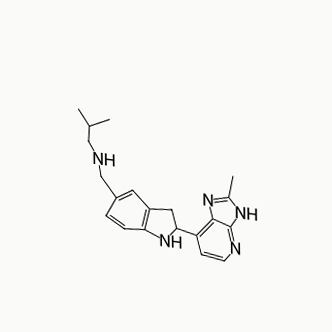 Cc1nc2c(C3Cc4cc(CNCC(C)C)ccc4N3)ccnc2[nH]1